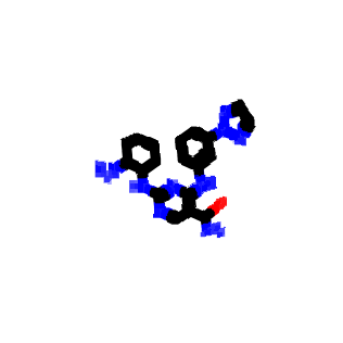 NC(=O)c1cnc(NC2CC=CCC2N)nc1Nc1cccc(-n2nccn2)c1